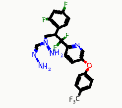 N/N=C\N(N)CC(c1ccc(F)cc1F)C(F)(F)c1ccc(Oc2ccc(C(F)(F)F)cc2)cn1